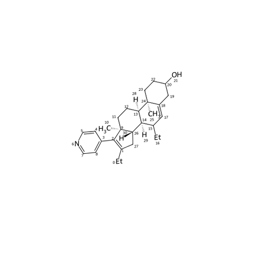 CCC1=C(c2ccncc2)[C@@]2(C)CC[C@@H]3[C@@H](C(CC)C=C4CC(O)CC[C@@]43C)[C@@H]2C1